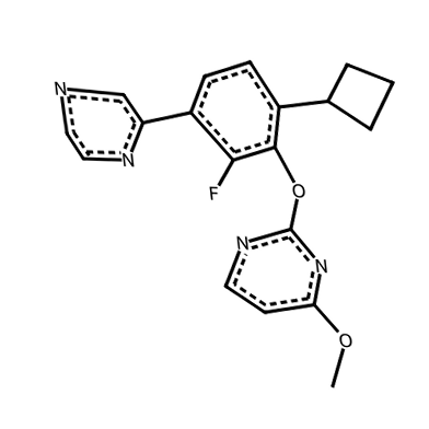 COc1ccnc(Oc2c(C3CCC3)ccc(-c3cnccn3)c2F)n1